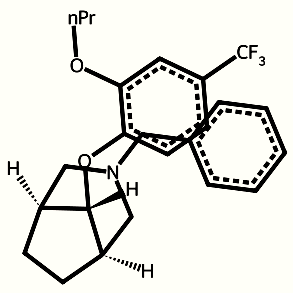 CCCOc1cc(C(F)(F)F)ccc1O[C@@H]1[C@@H]2CC[C@H]1CN(Cc1ccccc1)C2